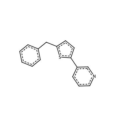 c1ccc(Cc2ccc(-c3cccnc3)s2)cc1